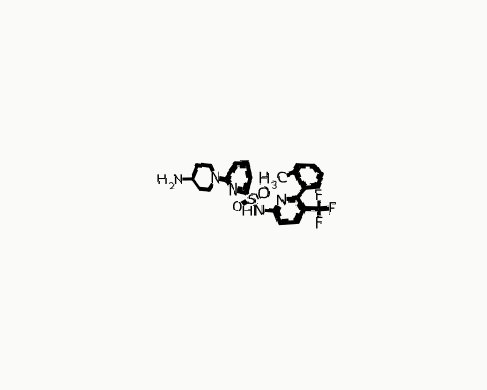 Cc1ccccc1-c1nc(NS(=O)(=O)c2cccc(N3CCC(N)CC3)n2)ccc1C(F)(F)F